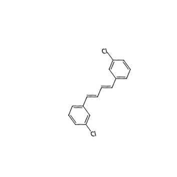 Clc1cccc(C=CC=Cc2cccc(Cl)c2)c1